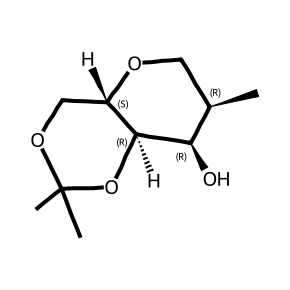 C[C@@H]1CO[C@H]2COC(C)(C)O[C@@H]2[C@@H]1O